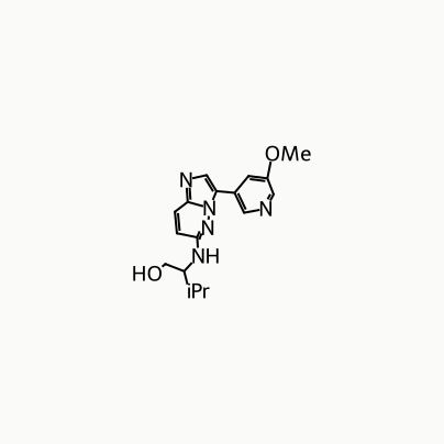 COc1cncc(-c2cnc3ccc(NC(CO)C(C)C)nn23)c1